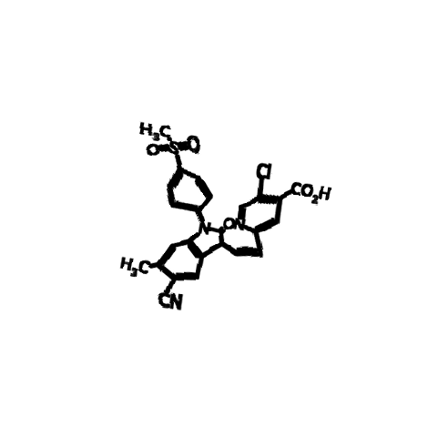 Cc1cc2c(cc1C#N)C(/C=C\c1cc(C(=O)O)c(Cl)cn1)C(=O)N2c1ccc(S(C)(=O)=O)cc1